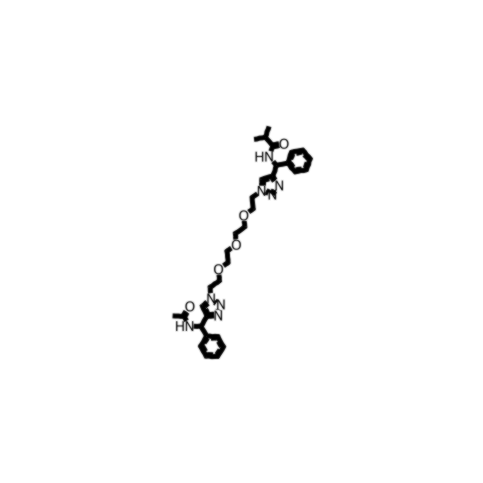 CC(=O)NC(c1ccccc1)c1cn(CCOCCOCCOCCn2cc(C(NC(=O)C(C)C)c3ccccc3)nn2)nn1